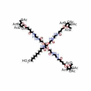 CC(=O)OCC1O[C@H](OCCCCC(=O)CNCCCNC(=O)CCOCC(COCCC(=O)NCCCNCC(=O)CCCCO[C@H]2OC(COC(C)=O)[C@@H](OC(C)=O)C(OC(C)=O)C2OC(C)=O)(COCCC(=O)NCCCNC(=O)CCCCO[C@H]2OC(COC(C)=O)[C@@H](OC(C)=O)C(OC(C)=O)C2OC(C)=O)NC(=O)CCCCCCCCCCC(=O)O)C(OC(C)=O)C(OC(C)=O)[C@@H]1OC(C)=O